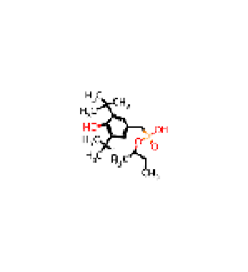 CCC(C)OP(=O)(O)Cc1cc(C(C)(C)C)c(O)c(C(C)(C)C)c1